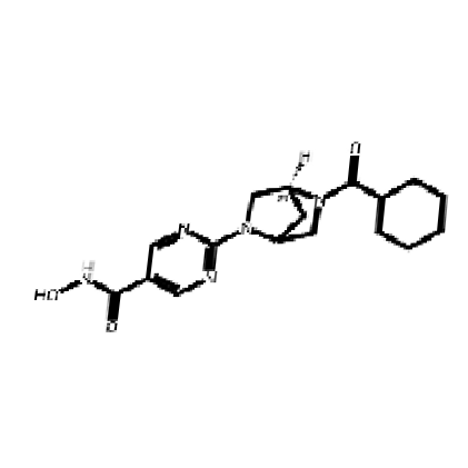 O=C(NO)c1cnc(N2C[C@@H]3CC2CN3C(=O)C2CCCCC2)nc1